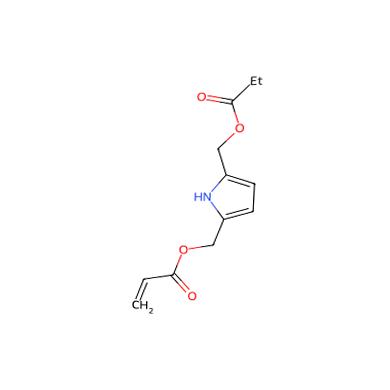 C=CC(=O)OCc1ccc(COC(=O)CC)[nH]1